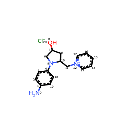 Nc1ccc(N2CC(O)CC2C[n+]2ccccc2)cc1.[Cl-]